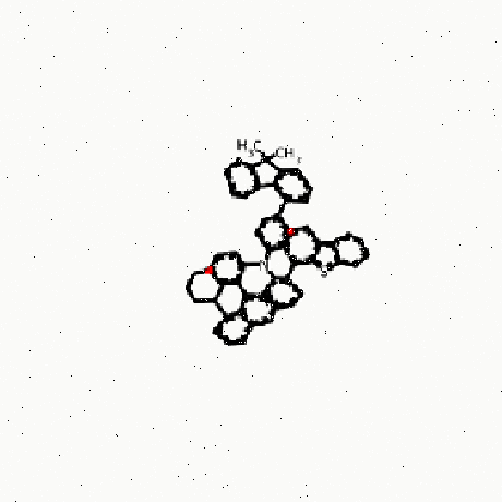 CC1(C)c2ccccc2-c2c(-c3ccc(N(c4ccccc4-c4cccc5c4sc4ccccc45)c4ccccc4-c4cccc5cccc(C6CCCCC6)c45)cc3)cccc21